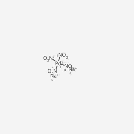 O=[N+]([O-])[Pd-2]([N+](=O)[O-])([N+](=O)[O-])[N+](=O)[O-].[Na+].[Na+]